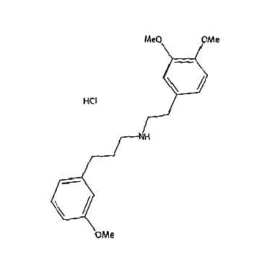 COc1cccc(CCCNCCc2ccc(OC)c(OC)c2)c1.Cl